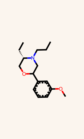 CCCN1CC(c2cccc(OC)c2)OC[C@@H]1CC